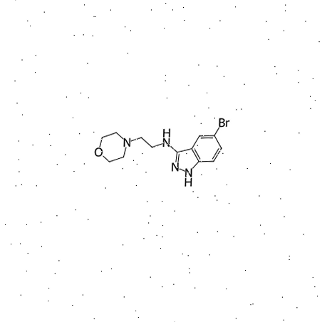 Brc1ccc2[nH]nc(NCCN3CCOCC3)c2c1